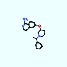 CC(c1ccccc1)N1CCCC(Oc2ccc3c(N)nccc3c2)C1